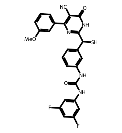 COc1cccc(-c2nc(C(S)c3cccc(NC(=O)Nc4cc(F)cc(F)c4)c3)[nH]c(=O)c2C#N)c1